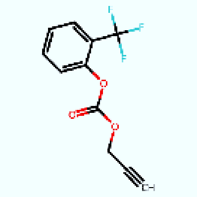 C#CCOC(=O)Oc1ccccc1C(F)(F)F